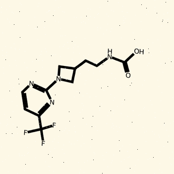 O=C(O)NCCC1CN(c2nccc(C(F)(F)F)n2)C1